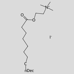 CCCCCCCCCCCCCCCCCC(=O)OCC[N+](C)(C)C.[I-]